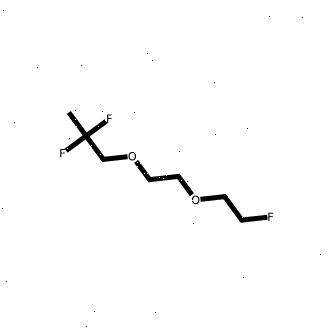 CC(F)(F)COCCOCCF